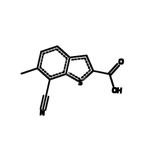 Cc1ccc2cc(C(=O)O)sc2c1C#N